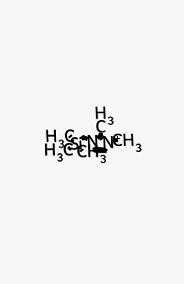 Cc1n(C[Si](C)(C)C)cc[n+]1C